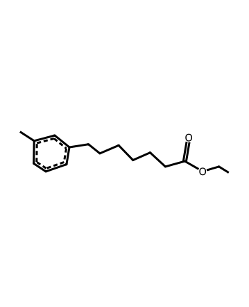 CCOC(=O)CCCCCCc1cccc(C)c1